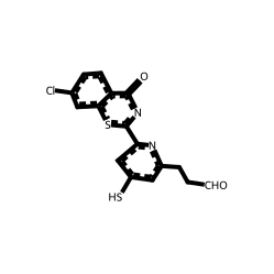 O=CCCc1cc(S)cc(-c2nc(=O)c3ccc(Cl)cc3s2)n1